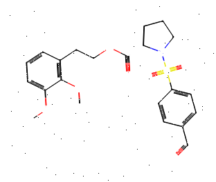 COc1cccc(CCOC(=O)[C@@H]2CCCN2S(=O)(=O)c2ccc(C=O)cc2)c1OC